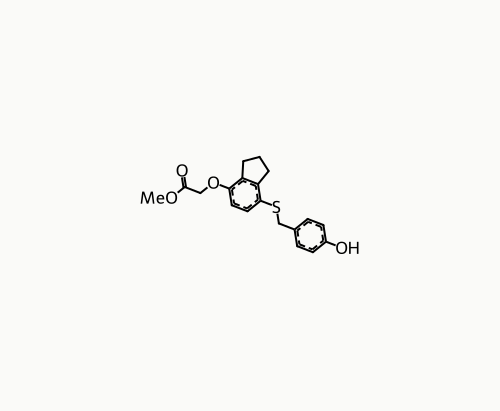 COC(=O)COc1ccc(SCc2ccc(O)cc2)c2c1CCC2